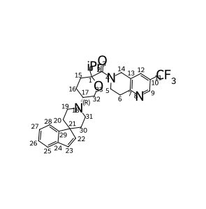 CC(C)C1(C(=O)N2CCc3ncc(C(F)(F)F)cc3C2)CC[C@@H](N2CCC3(C=Cc4ccccc43)CC2)CO1